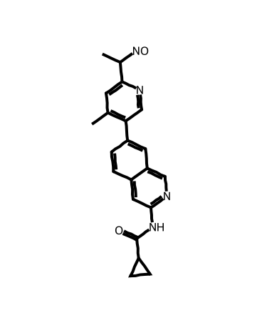 Cc1cc(C(C)N=O)ncc1-c1ccc2cc(NC(=O)C3CC3)ncc2c1